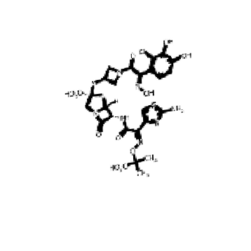 CC(C)(O/N=C(\C(=O)N[C@@H]1C(=O)N2C[C@](SC3CN(C(=O)C(=NO)c4ccc(O)c(O)c4Cl)C3)(C(=O)O)S[C@H]12)c1csc(N)n1)C(=O)O